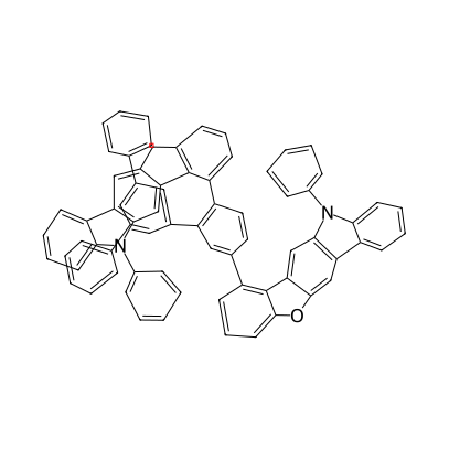 c1ccc(-c2cc(-c3ccccc3)cc(-c3cc(-c4cccc5oc6cc7c8ccccc8n(-c8ccccc8)c7cc6c45)ccc3-c3cccc4c3-c3cc5c(cc3C4)c3ccccc3n5-c3ccccc3)c2)cc1